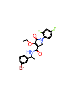 CCOC1=C(C(=O)NC(C)c2cccc(Br)c2)CN(c2ccc(F)cc2F)C1=O